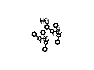 CC1=[C]([Hf]([C]2=C(C)C=C(c3ccccc3)C2)=[Si](C)c2ccccc2)CC(c2ccccc2)=C1.CC1=[C]([Hf]([C]2=C(C)C=C(c3ccccc3)C2)=[Si](C)c2ccccc2)CC(c2ccccc2)=C1.Cl.Cl